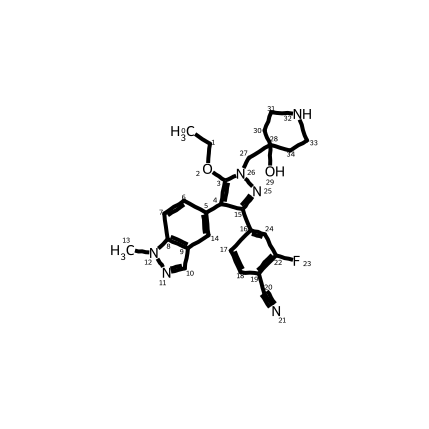 CCOc1c(-c2ccc3c(cnn3C)c2)c(-c2ccc(C#N)c(F)c2)nn1CC1(O)CCNCC1